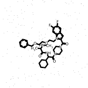 CNC(C)C(=O)NC(C(=O)N1CCN(C(=O)c2cc3cc(F)c(F)cc3n2CCOCCOCc2ccccc2)CC1)C1CCCCC1